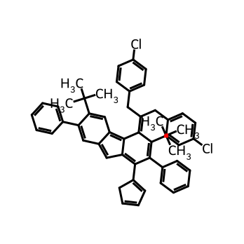 CC(C)(C)c1cc2c(cc1-c1ccccc1)=Cc1c(C3=CC=CC3)c(-c3ccccc3)c(C(C)(C)C)c(=C(Cc3ccc(Cl)cc3)Cc3ccc(Cl)cc3)c1=2